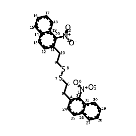 O=[N+]([O-])c1c(CCSSCCc2ccc3ccccc3c2[N+](=O)[O-])ccc2ccccc12